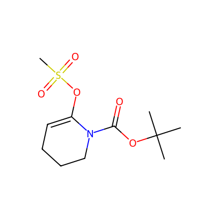 CC(C)(C)OC(=O)N1CCCC=C1OS(C)(=O)=O